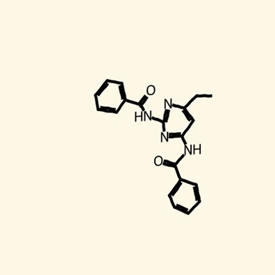 CCc1cc(NC(=O)c2ccccc2)nc(NC(=O)c2ccccc2)n1